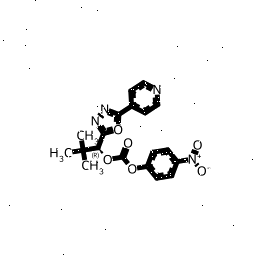 CC(C)(C)[C@@H](OC(=O)Oc1ccc([N+](=O)[O-])cc1)c1nnc(-c2ccncc2)o1